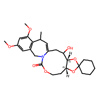 COc1cc2c(c(OC)c1)C(C)C=C1CC(O)[C@@H]3OC4(CCCCC4)O[C@@H]3CCOC(=O)N1C2